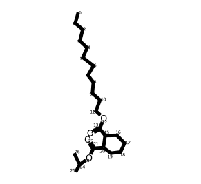 CCCCCCCCCCCCOC(=O)C1CCCCC1C(=O)OC(C)C